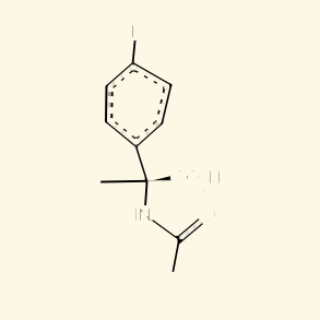 C[C@](NC(=O)C(F)(F)F)(C(=O)O)c1ccc(F)cc1